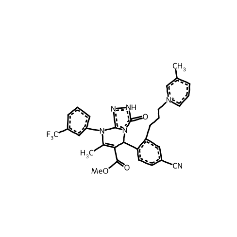 COC(=O)C1=C(C)N(c2cccc(C(F)(F)F)c2)c2n[nH]c(=O)n2C1c1ccc(C#N)cc1CCC[n+]1cccc(C)c1